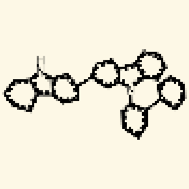 c1ccc(-c2ccccc2-n2c3ccccc3c3ccc(-c4ccc5c(c4)[nH]c4ccccc45)cc32)cc1